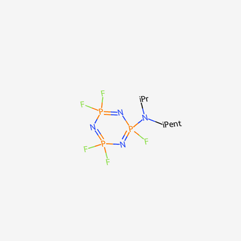 CCCC(C)N(C(C)C)P1(F)=NP(F)(F)=NP(F)(F)=N1